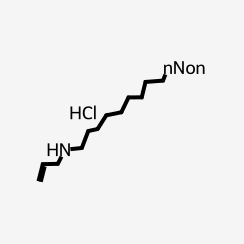 C=CCNCCCCCCCCCCCCCCCCCC.Cl